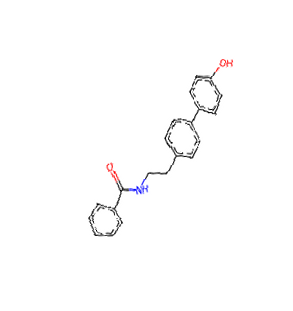 O=C(NCCc1ccc(-c2ccc(O)cc2)cc1)c1ccccc1